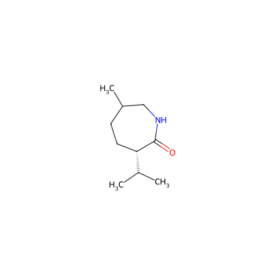 CC1CC[C@@H](C(C)C)C(=O)NC1